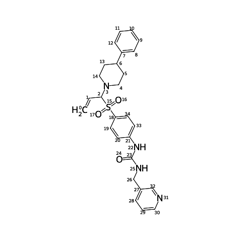 C=CC(N1CCC(c2ccccc2)CC1)S(=O)(=O)c1ccc(NC(=O)NCc2cccnc2)cc1